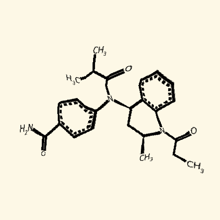 CCC(=O)N1c2ccccc2[C@H](N(C(=O)C(C)C)c2ccc(C(N)=O)cc2)C[C@@H]1C